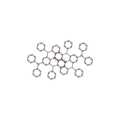 C(/C=N/c1c(C(c2ccccc2)c2ccccc2)cc(N(c2ccccc2)c2ccccc2)cc1C(c1ccccc1)c1ccccc1)=N\c1c(C(c2ccccc2)c2ccccc2)cc(N(c2ccccc2)c2ccccc2)cc1C(c1ccccc1)c1ccccc1